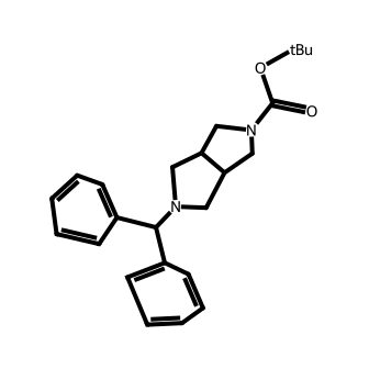 CC(C)(C)OC(=O)N1CC2CN(C(c3ccccc3)c3ccccc3)CC2C1